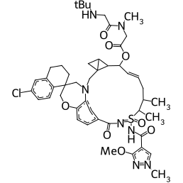 COc1nn(C)cc1C(=O)NS1(=O)=NC(=O)c2ccc3c(c2)N(CC2(CCCc4cc(Cl)ccc42)CO3)CC23CC2C3C(OC(=O)CN(C)C(=O)CNC(C)(C)C)/C=C/CC(C)C1C